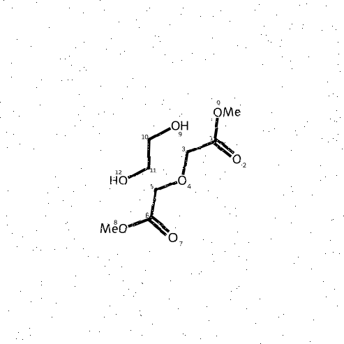 COC(=O)COCC(=O)OC.OCCO